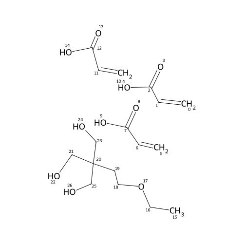 C=CC(=O)O.C=CC(=O)O.C=CC(=O)O.CCOCCC(CO)(CO)CO